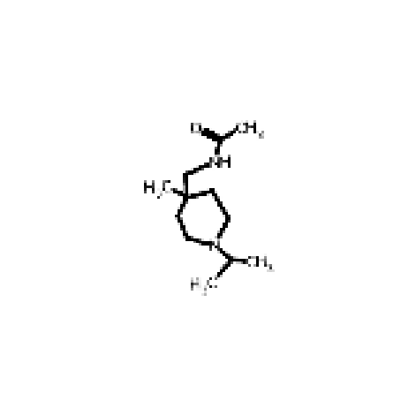 CC(=O)NCC1(C)CCN(C(C)C)CC1